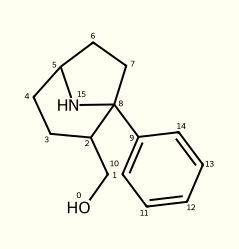 OCC1CCC2CCC1(c1ccccc1)N2